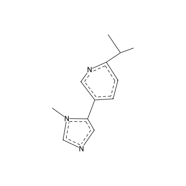 CC(C)c1ccc(-c2cncn2C)cn1